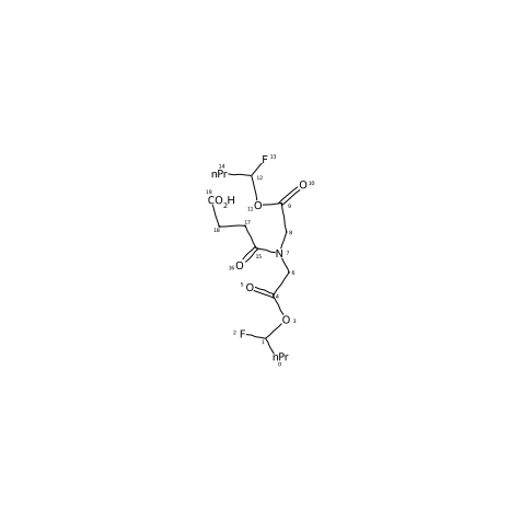 CCCC(F)OC(=O)CN(CC(=O)OC(F)CCC)C(=O)CCC(=O)O